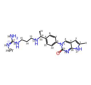 Cc1cc2cn(-c3ccc([C@H](C)NCCCN/C(N)=N\C(C)C)cc3)c(=O)nc2[nH]1